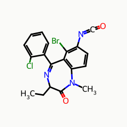 CCC1N=C(c2ccccc2Cl)c2c(ccc(N=C=O)c2Br)N(C)C1=O